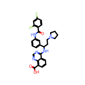 O=C(Nc1cccc(C(CCN2CCCC2)Nc2ncnc3c(C(=O)O)cccc23)c1)c1ccc(F)cc1F